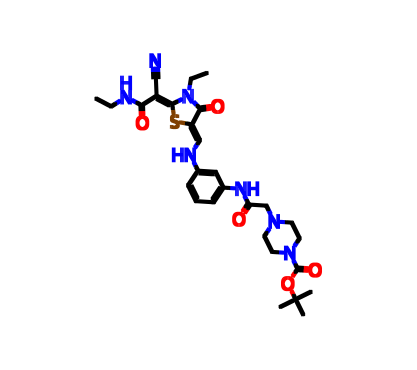 CCNC(=O)C(C#N)=c1sc(=CNc2cccc(NC(=O)CN3CCN(C(=O)OC(C)(C)C)CC3)c2)c(=O)n1CC